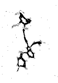 COc1cc(C(=O)O)ccc1NCC#Cc1cc2c(NC3CCN(C)CC3)cccc2n1CCF